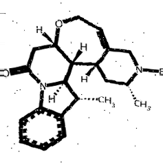 CCN1CC2=CCO[C@H]3CC(=O)N4c5ccccc5[C@@H](C)[C@@H]4[C@H]3[C@H]2C[C@H]1C